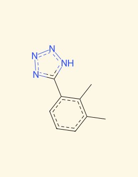 Cc1cccc(-c2nnn[nH]2)c1C